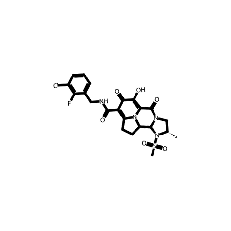 C[C@H]1CN2C(=O)c3c(O)c(=O)c(C(=O)NCc4cccc(Cl)c4F)c4n3C(CC4)C2N1S(C)(=O)=O